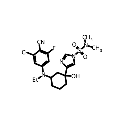 CCN(c1cc(F)c(C#N)c(Cl)c1)C1CCCC(O)(c2cn(S(=O)(=O)N(C)C)cn2)C1